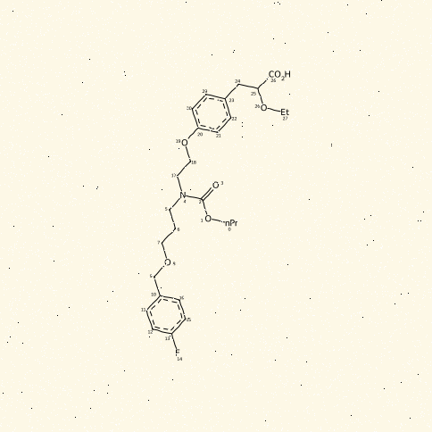 CCCOC(=O)N(CCCOCc1ccc(F)cc1)CCOc1ccc(CC(OCC)C(=O)O)cc1